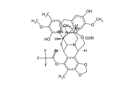 COc1cc2c(cc1O)CCN[C@]21CS[C@@H]2c3c(OC(=O)C(F)(F)F)c(C)c4c(c3[C@H](COC1=O)N1C2[C@@H]2c3c(cc(C)c(OC)c3O)C[C@H]([C@@H]1C#N)N2C)OCO4